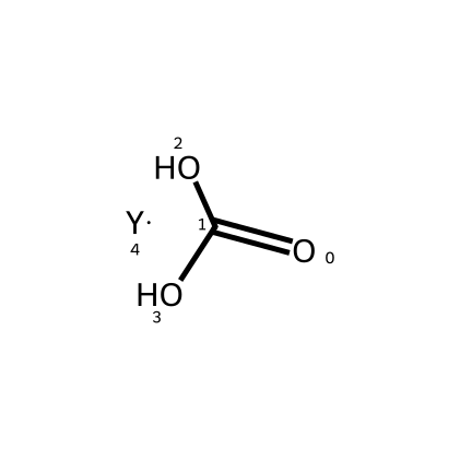 O=C(O)O.[Y]